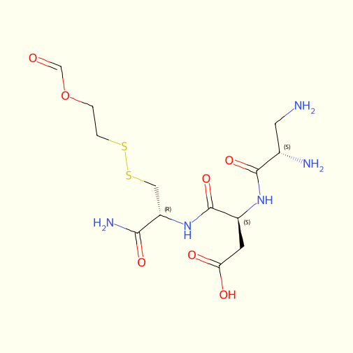 NC[C@H](N)C(=O)N[C@@H](CC(=O)O)C(=O)N[C@@H](CSSCCOC=O)C(N)=O